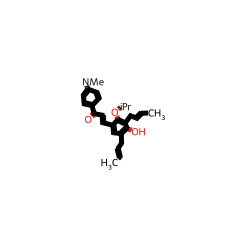 C/C=C/Cc1cc(/C=C/C(=O)c2ccc(NC)cc2)c(OC(C)C)c(C/C=C/C)c1O